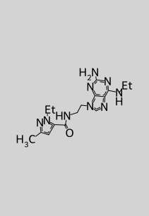 CCNc1nc(N)nc2c1ncn2CCNC(=O)c1cc(C)nn1CC